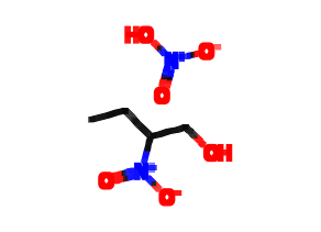 CCC(CO)[N+](=O)[O-].O=[N+]([O-])O